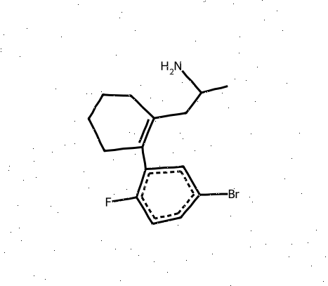 CC(N)CC1=C(c2cc(Br)ccc2F)CCCC1